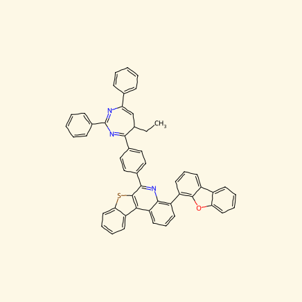 CCC1C=C(c2ccccc2)N=C(c2ccccc2)N=C1c1ccc(-c2nc3c(-c4cccc5c4oc4ccccc45)cccc3c3c2sc2ccccc23)cc1